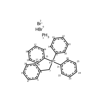 Br.P.[Br-].c1ccc(C[P+](c2ccccc2)(c2ccccc2)c2ccccc2)cc1